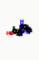 Oc1cc(F)cc(-c2ccnc3[nH]c(-c4n[nH]c5cnc(-c6cnccn6)cc45)cc23)c1